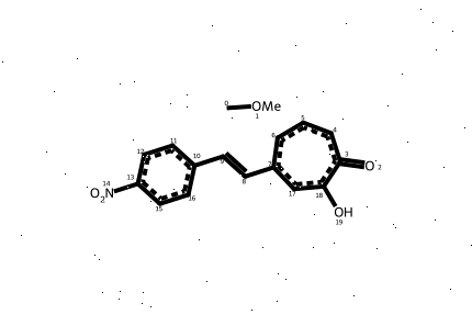 COC.O=c1cccc(C=Cc2ccc([N+](=O)[O-])cc2)cc1O